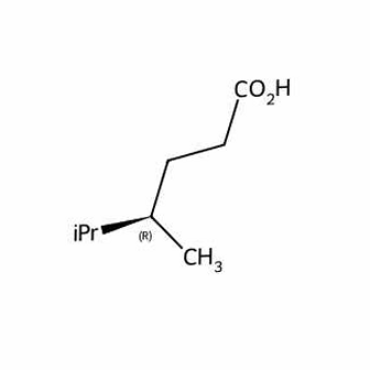 CC(C)[C@H](C)CCC(=O)O